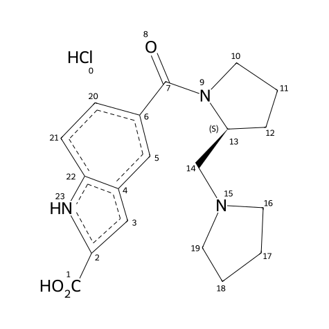 Cl.O=C(O)c1cc2cc(C(=O)N3CCC[C@H]3CN3CCCC3)ccc2[nH]1